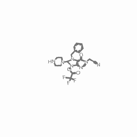 N#CCn1cnc2c(c1=O)N(Cc1ccccc1)C(N1CCNCC1)N2OC(=O)C(F)(F)F